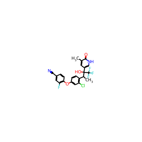 Cc1cc(C(O)(C(C)c2ccc(Oc3ccc(C#N)cc3F)cc2Cl)C(F)(F)F)c[nH]c1=O